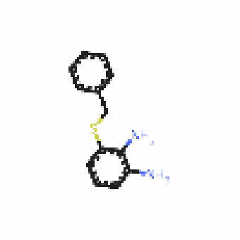 Nc1cccc(SCc2ccccc2)c1N